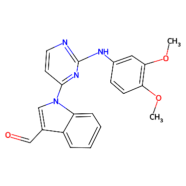 COc1ccc(Nc2nccc(-n3cc(C=O)c4ccccc43)n2)cc1OC